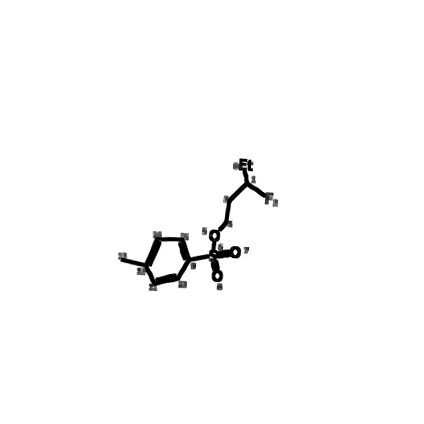 CCC(F)CCOS(=O)(=O)c1ccc(C)cc1